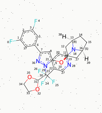 Fc1cc(F)cc(-c2cc(O[C@H]3C[C@H]4CC[C@@H](C3)N4c3ccc(C(F)(F)F)cn3)n(CC3OCCO3)n2)c1